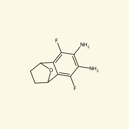 Nc1c(N)c(F)c2c(c1F)C1CCC2O1